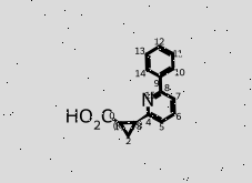 O=C(O)[C@@H]1C[C@@H]1c1cccc(-c2ccccc2)n1